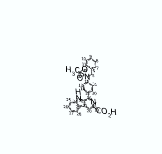 CS(=O)(=O)N(Cc1ccccc1)c1ccc(-c2nc(C(=O)O)cc3c2[nH]c2ccccc23)cc1